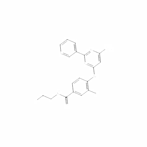 Cc1cc(Nc2ccc(C(=O)NCCF)cc2F)nc(-c2cccnc2)n1